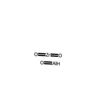 [O]=[AlH].[O]=[Zr]=[O]